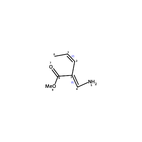 C/C=C\C(=C/N)C(=O)OC